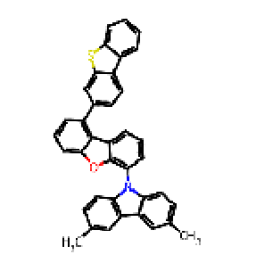 Cc1ccc2c(c1)c1cc(C)ccc1n2-c1cccc2c1oc1cccc(-c3ccc4c(c3)sc3ccccc34)c12